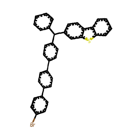 Brc1ccc(-c2ccc(-c3ccc(C(c4ccccc4)c4ccc5c(c4)sc4ccccc45)cc3)cc2)cc1